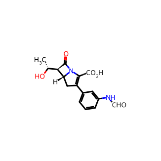 C[C@@H](O)[C@H]1C(=O)N2C(C(=O)O)=C(c3cccc(NC=O)c3)C[C@H]12